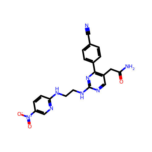 N#Cc1ccc(-c2nc(NCCNc3ccc([N+](=O)[O-])cn3)ncc2CC(N)=O)cc1